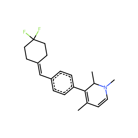 CC1=C(c2ccc(C=C3CCC(F)(F)CC3)cc2)C(C)N(C)C=C1